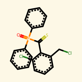 O=P(C(=S)c1c(Cl)cccc1CCl)(c1ccccc1)c1ccccc1